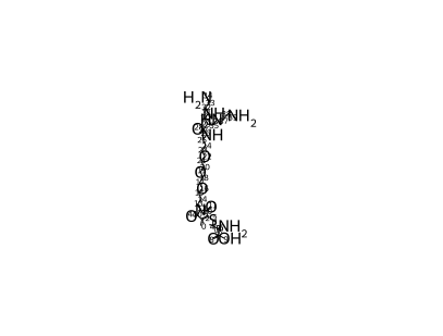 CC1=C(SC[C@H](N)C(=O)O)C(=O)N(CCCOCCOCCOCCCNC(=O)C(CNCCN)CNCCN)C1=O